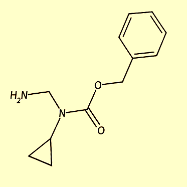 NCN(C(=O)OCc1ccccc1)C1CC1